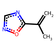 C=C(C)c1ncno1